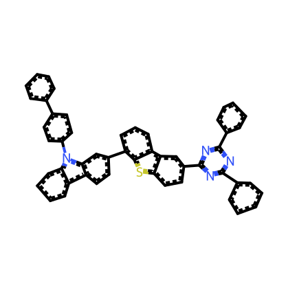 c1ccc(-c2ccc(-n3c4ccccc4c4ccc(-c5cccc6c5sc5ccc(-c7nc(-c8ccccc8)nc(-c8ccccc8)n7)cc56)cc43)cc2)cc1